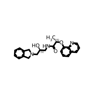 C[C@H](Oc1cccc2cccnc12)C(=O)NC[C@H](O)CN1Cc2ccccc2C1